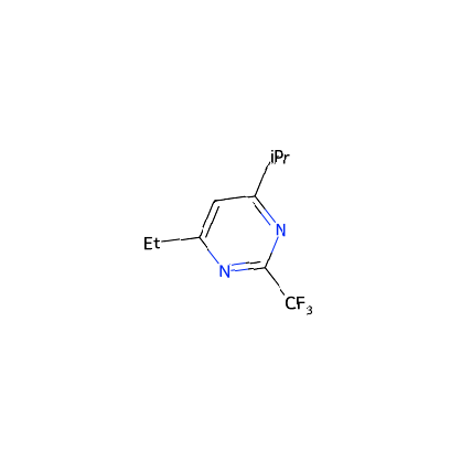 CCc1cc(C(C)C)nc(C(F)(F)F)n1